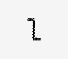 CCCCCCCCCCCCCCCCCC=CC=C[C]=O